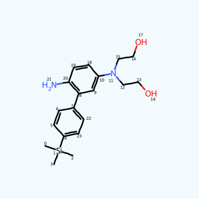 C[Si](C)(C)c1ccc(-c2cc(N(CCO)CCO)ccc2N)cc1